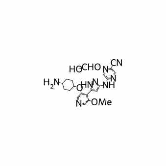 COc1cncc(OC2CCC(N)CC2)c1-c1cc(Nc2cnc(C#N)cn2)n[nH]1.O=CO